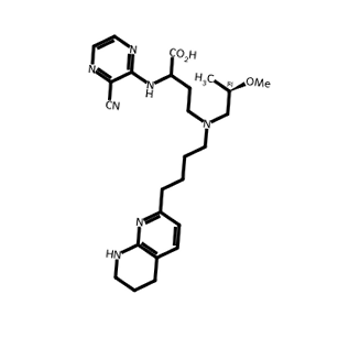 CO[C@H](C)CN(CCCCc1ccc2c(n1)NCCC2)CCC(Nc1nccnc1C#N)C(=O)O